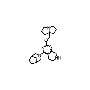 C1CN2CCCC2(COc2nc3c(c(N4CC5CCC(C5)C4)n2)CCNC3)C1